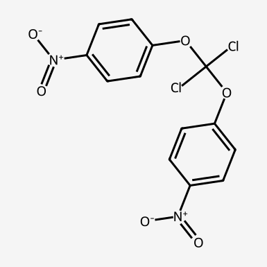 O=[N+]([O-])c1ccc(OC(Cl)(Cl)Oc2ccc([N+](=O)[O-])cc2)cc1